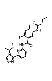 CC/C=C(F)\C(=C/CNC(=O)CCC)C(=O)Nc1cccc(-c2nncn2C(C)CC)n1